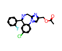 CC(=O)OCc1cn2c(n1)CN=C(c1ccccc1F)c1cc(Cl)ccc1-2